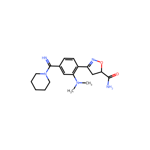 CN(C)c1cc(C(=N)N2CCCCC2)ccc1C1=NOC(C(N)=O)C1